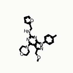 COCc1nn(-c2ccc(C)cc2)c2nc(NCc3ccco3)nc(N3CCOCC3)c12